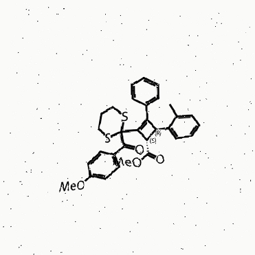 COC(=O)[C@@H]1C(C2(C(=O)c3ccc(OC)cc3)SCCCS2)=C(c2ccccc2)[C@H]1c1ccccc1C